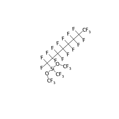 FC(F)(F)O[Si](OC(F)(F)F)(C(F)(F)F)C(F)(F)C(F)(F)C(F)(F)C(F)(F)C(F)(F)C(F)(F)C(F)(F)C(F)(F)F